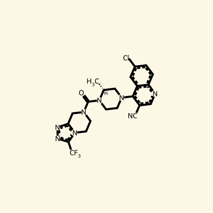 C[C@@H]1CN(c2c(C#N)cnc3ccc(Cl)cc23)CCN1C(=O)N1CCn2c(nnc2C(F)(F)F)C1